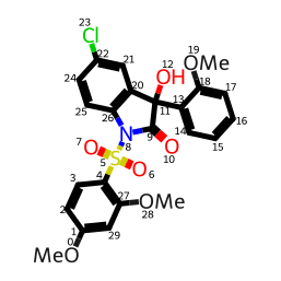 COc1ccc(S(=O)(=O)N2C(=O)C(O)(c3ccccc3OC)c3cc(Cl)ccc32)c(OC)c1